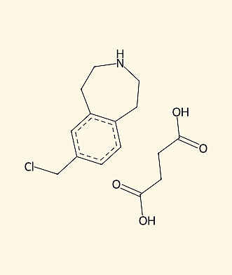 ClCc1ccc2c(c1)CCNCC2.O=C(O)CCC(=O)O